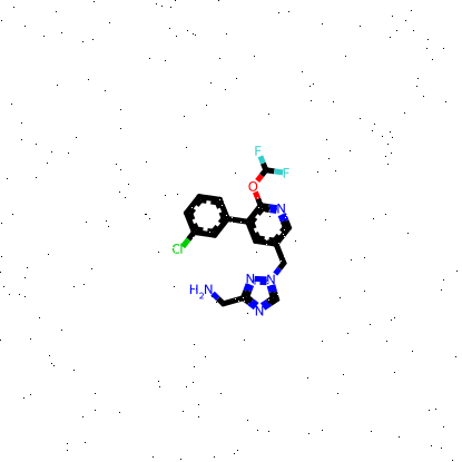 NCc1ncn(Cc2cnc(OC(F)F)c(-c3cccc(Cl)c3)c2)n1